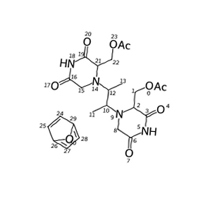 CC(=O)OCC1C(=O)NC(=O)CN1C(C)C(C)N1CC(=O)NC(=O)C1COC(C)=O.c1cc2ccc1o2